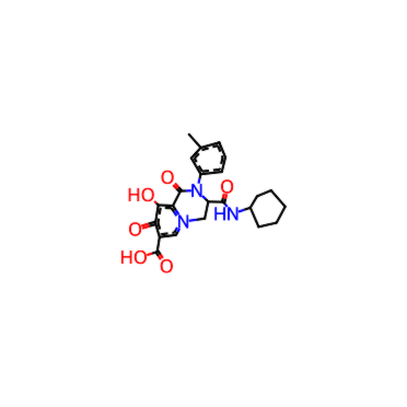 Cc1cccc(N2C(=O)c3c(O)c(=O)c(C(=O)O)cn3CC2C(=O)NC2CCCCC2)c1